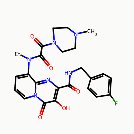 CCN(C(=O)C(=O)N1CCN(C)CC1)c1cccn2c(=O)c(O)c(C(=O)NCc3ccc(F)cc3)nc12